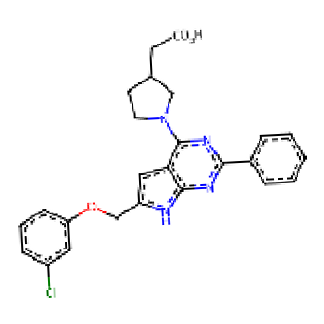 O=C(O)CC1CCN(c2nc(-c3ccccc3)nc3[nH]c(COc4cccc(Cl)c4)cc23)C1